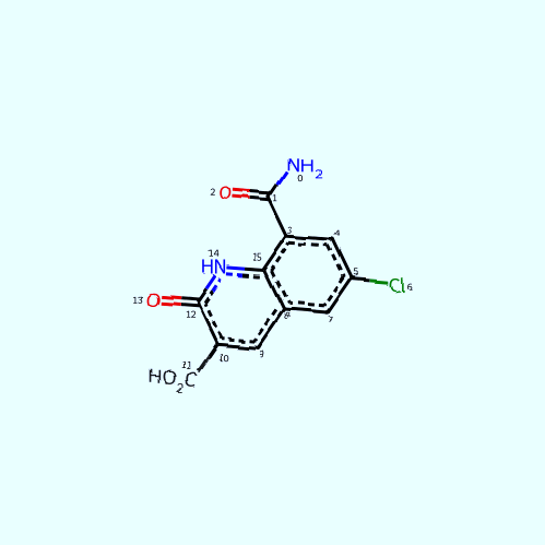 NC(=O)c1cc(Cl)cc2cc(C(=O)O)c(=O)[nH]c12